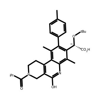 Cc1ccc(-c2c([C@H](OC(C)(C)C)C(=O)O)c(C)c3nc(O)c4c(c3c2C)CCN(C(=O)C(C)C)C4)cc1